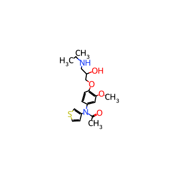 COc1cc(N(C(C)=O)c2ccsc2)ccc1OCC(O)CNC(C)C